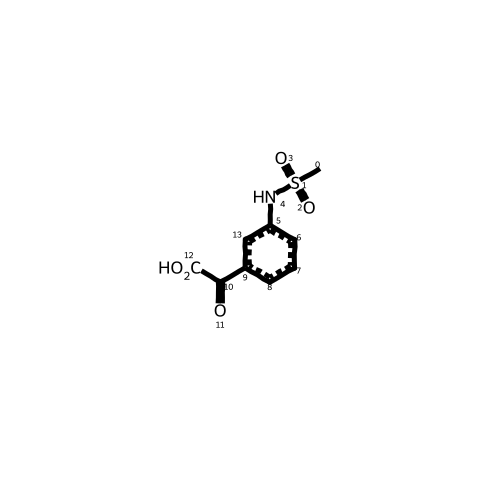 CS(=O)(=O)Nc1cccc(C(=O)C(=O)O)c1